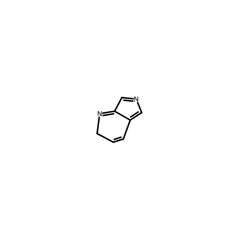 [C]1=CCN=C2C=NC=C12